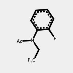 CC(=O)N(CC(F)(F)F)c1ccccc1F